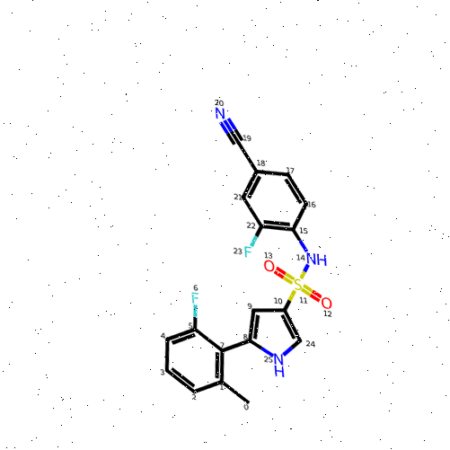 Cc1cccc(F)c1-c1cc(S(=O)(=O)Nc2ccc(C#N)cc2F)c[nH]1